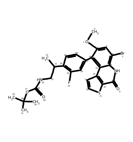 COc1cc(Br)c2[nH]c(=O)c3sccc3c2c1-c1ccc(C(C)CNC(=O)OC(C)(C)C)c(F)c1